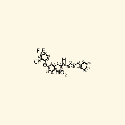 O=C(Cc1cc(Oc2ccc(C(F)(F)F)cc2Cl)ccc1[N+](=O)[O-])NCCSCc1ccccc1